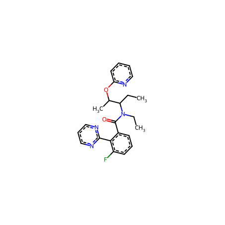 CCC(C(C)Oc1ccccn1)N(CC)C(=O)c1cccc(F)c1-c1ncccn1